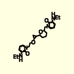 CCNc1cccn(CCOC2CC2C2CCCC(Cn3cccc(NCC)c3=O)O2)c1=O